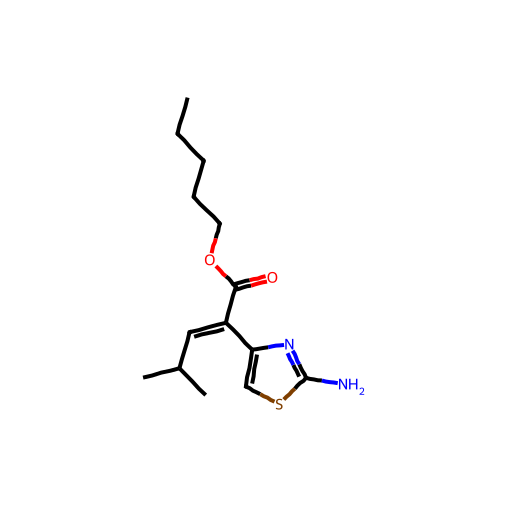 CCCCCOC(=O)/C(=C/C(C)C)c1csc(N)n1